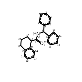 O=C(NC(c1ccccc1)c1ccccc1)C1CCCc2ccccc21